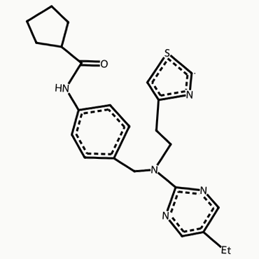 CCc1cnc(N(CCc2cs[c]n2)Cc2ccc(NC(=O)C3CCCC3)cc2)nc1